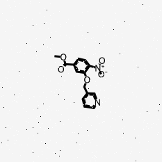 COC(=O)c1ccc([N+](=O)[O-])c(OCc2cccnc2)c1